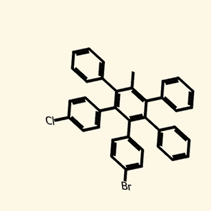 Cc1c(-c2ccccc2)c(-c2ccccc2)c(-c2ccc(Br)cc2)c(-c2ccc(Cl)cc2)c1-c1ccccc1